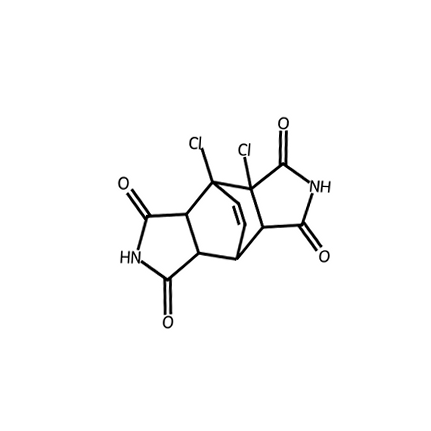 O=C1NC(=O)C2C1C1C=CC2(Cl)C2(Cl)C(=O)NC(=O)C12